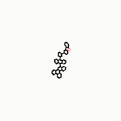 c1cc(-c2ccc3oc4ccccc4c3c2)cc(-c2c3ccccc3c(-c3cc4c5ccccc5c5ccccc5c4c4ccccc34)c3ccccc23)c1